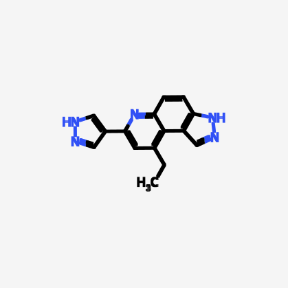 CCc1cc(-c2cn[nH]c2)nc2ccc3[nH]ncc3c12